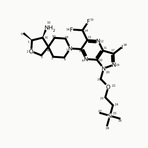 C[C@@H]1OCC2(CCN(c3nc4c(nc3C(F)F)c(I)nn4COCC[Si](C)(C)C)CC2)[C@@H]1N